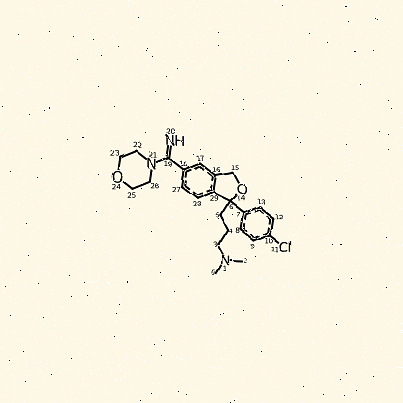 CN(C)CCCC1(c2ccc(Cl)cc2)OCc2cc(C(=N)N3CCOCC3)ccc21